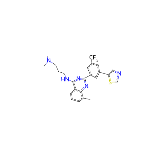 Cc1cccc2c(NCCCN(C)C)nc(-c3cc(-c4cncs4)cc(C(F)(F)F)c3)nc12